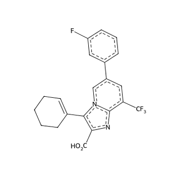 O=C(O)c1nc2c(C(F)(F)F)cc(-c3cccc(F)c3)cn2c1C1=CCCCC1